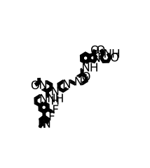 CC(=O)N1CCC(NC2CCN(CCN3CCOC(CNc4cccc5c4CN(C4CCC(=O)NC4=O)C5=O)C3)CC2)=C(C(=N)N2CCCc3cc(-c4cnn(C)c4)c(C(F)F)cc32)C1